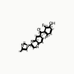 Cc1cn(-c2cnc3ccc(C(=O)c4c(F)ccc(O)c4F)cc3n2)cn1